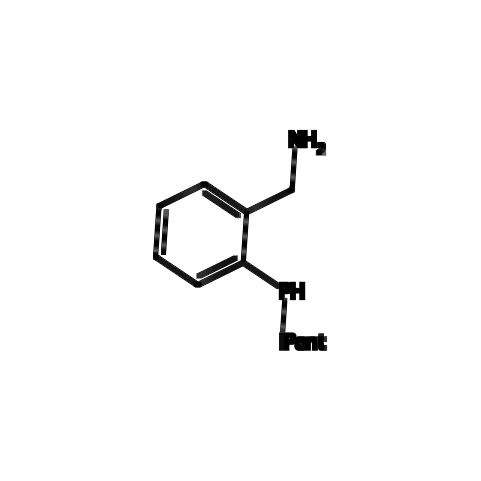 CCCC(C)Pc1ccccc1CN